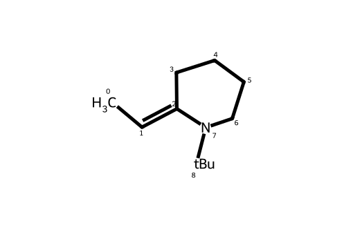 C/C=C1\CCCCN1C(C)(C)C